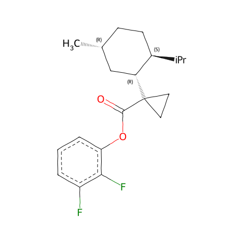 CC(C)[C@@H]1CC[C@@H](C)C[C@H]1C1(C(=O)Oc2cccc(F)c2F)CC1